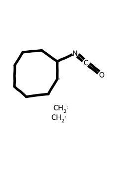 O=C=NC1[CH]CCCCCC1.[CH2].[CH2]